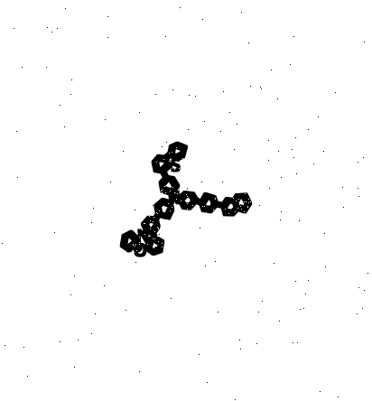 c1ccc2c(c1)Oc1cccc3c4cc(-c5ccc(N(c6ccc(-c7ccc(-c8ccc9ccccc9c8)cc7)cc6)c6ccc(-c7cccc8c7sc7ccccc78)cc6)cc5)ccc4n-2c13